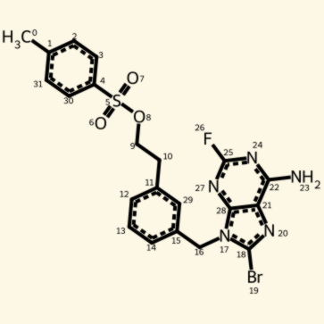 Cc1ccc(S(=O)(=O)OCCc2cccc(Cn3c(Br)nc4c(N)nc(F)nc43)c2)cc1